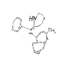 Cc1cc(NC(c2ccccc2)[C@@H]2CCCCN2)c2ccccc2n1